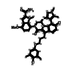 COc1ccc(N2CC(C)n3c(c(CCCOc4cc(C)c(Cl)c(C)c4)c4ccc(Cl)c(-c5c(C)nn(C)c5C)c43)C2=O)c2c1cc(C(N)=O)n2C